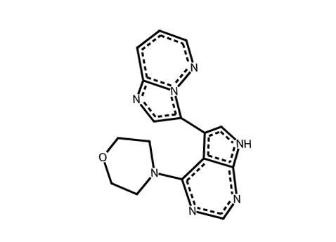 c1cnn2c(-c3c[nH]c4ncnc(N5CCOCC5)c34)cnc2c1